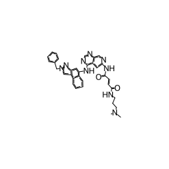 CN(C)CCCNC(=O)C=CC(=O)Nc1cc2c(Nc3cc4nn(Cc5ccccc5)cc4c4ccccc34)ncnc2cn1